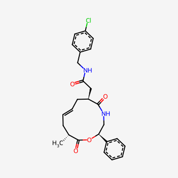 C[C@@H]1C/C=C/C[C@@H](CC(=O)NCc2ccc(Cl)cc2)C(=O)NC[C@@H](c2ccccc2)OC1=O